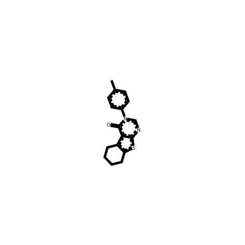 Cc1ccc(-n2cnc3sc4c(c3c2=O)CCCC4)cc1